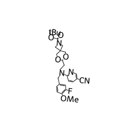 COc1ccc(CN(CCC2OCC3(CO2)CN(C(=O)OC(C)(C)C)C3)c2ccc(C#N)cn2)cc1F